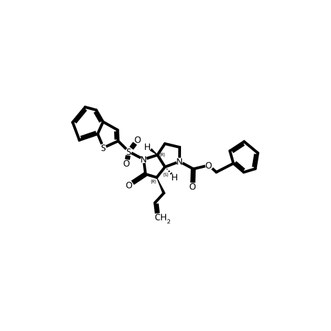 C=CC[C@H]1C(=O)N(S(=O)(=O)c2cc3ccccc3s2)[C@@H]2CCN(C(=O)OCc3ccccc3)[C@H]21